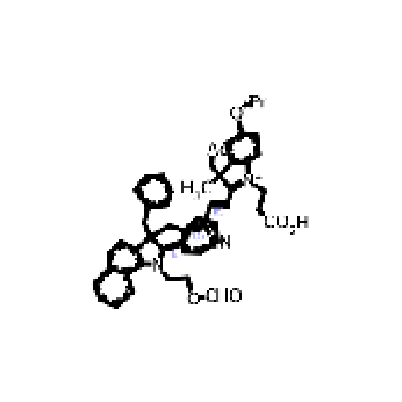 CC(=O)CC1(C)C(/C=C/C(C#N)=C/C=C2/N(CCOC=O)c3c(ccc4ccccc34)C2(Cc2ccccc2)Cc2ccccc2)=[N+](CCC(=O)O)c2ccc(OC(C)C)cc21